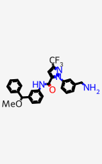 COC(c1ccccc1)c1cccc(NC(=O)c2cc(C(F)(F)F)nn2-c2cccc(CN)c2)c1